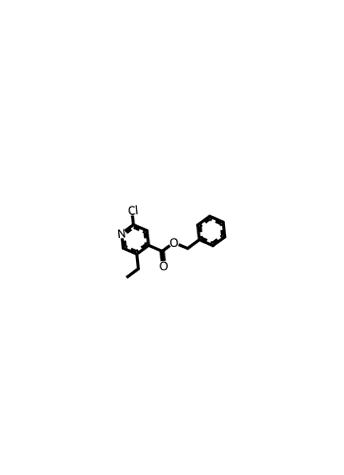 CCc1cnc(Cl)cc1C(=O)OCc1ccccc1